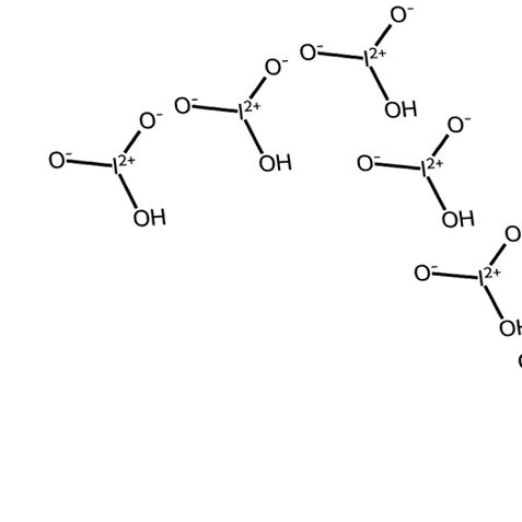 [CaH2].[O-][I+2]([O-])O.[O-][I+2]([O-])O.[O-][I+2]([O-])O.[O-][I+2]([O-])O.[O-][I+2]([O-])O